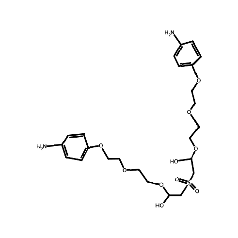 Nc1ccc(OCCOCCOC(O)CS(=O)(=O)CC(O)OCCOCCOc2ccc(N)cc2)cc1